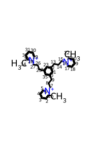 Cc1cccc[n+]1CCCc1cc(CCC[n+]2ccccc2C)cc(CCC[n+]2ccccc2C)c1